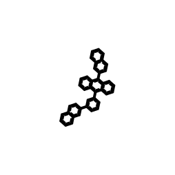 c1cc(-c2ccc3ccccc3c2)cc(-c2c3ccccc3c(-c3ccc4ccccc4c3)c3ccccc23)c1